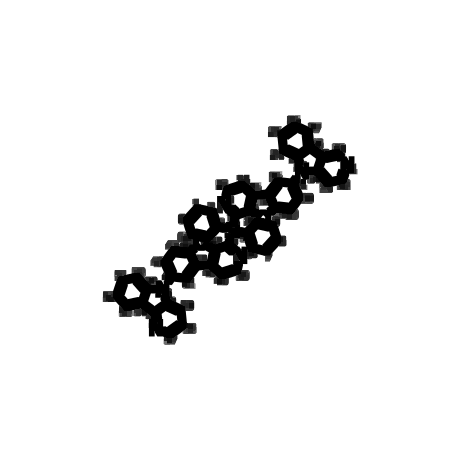 c1ccc([Si](c2ccccc2)(c2nccc3c2oc2ccc(-n4c5ccccc5c5cnccc54)cc23)c2nccc3c2oc2ccc(-n4c5ccccc5c5ncccc54)cc23)cc1